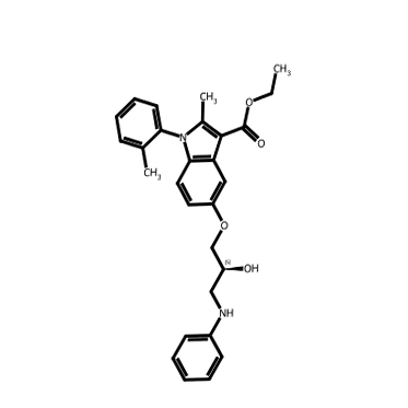 CCOC(=O)c1c(C)n(-c2ccccc2C)c2ccc(OC[C@@H](O)CNc3ccccc3)cc12